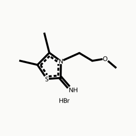 Br.COCCn1c(C)c(C)sc1=N